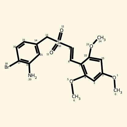 COc1cc(OC)c(C=CS(=O)(=O)Cc2ccc(Br)c(N)c2)c(OC)c1